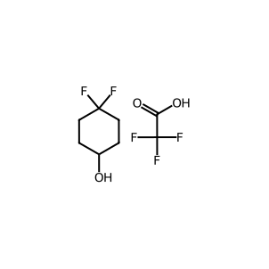 O=C(O)C(F)(F)F.OC1CCC(F)(F)CC1